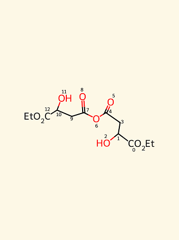 CCOC(=O)C(O)CC(=O)OC(=O)CC(O)C(=O)OCC